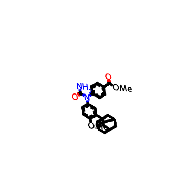 COC(=O)c1ccc(N(C(N)=O)c2ccc(OC)c(C34CC5CC(CC(C5)C3)C4)c2)cc1